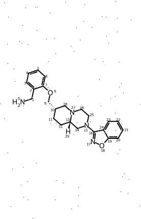 NCc1ccccc1OC[C@H]1CC[C@H]2CN(c3noc4ccccc34)CCN2C1